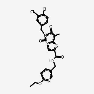 CCOc1ccc(CNC(=O)c2cn3c(=O)n(Cc4ccc(Cl)c(Cl)c4)c(=O)c(C)c3s2)cn1